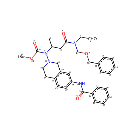 CC(CC(=O)N(CC=O)COCc1ccccc1)N(C(=O)OC(C)(C)C)N1CCc2ccc(NC(=O)c3ccccc3)cc2C1